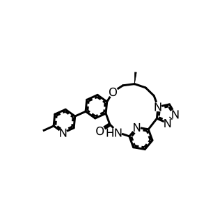 Cc1ccc(-c2ccc3c(c2)C(=O)Nc2cccc(n2)-c2nncn2CC[C@H](C)CO3)cn1